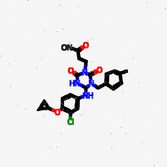 Cc1ccc(CN2C(=O)N(CCC(=O)N=O)C(=O)NC2Nc2ccc(OC3CC3)c(Cl)c2)cc1